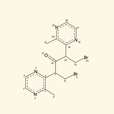 Cc1nccnc1C(CBr)C(=O)C(CBr)c1nccnc1C